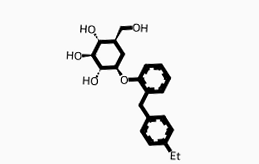 CCc1ccc(Cc2ccccc2O[C@@H]2C[C@H](CO)[C@@H](O)[C@H](O)[C@H]2O)cc1